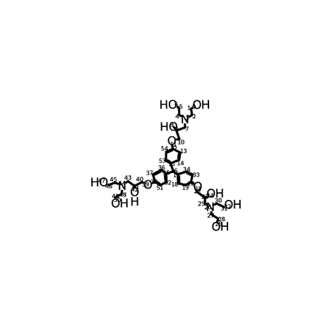 OCCN(CCO)CC(O)COc1ccc(C(C2=CCC(OCC(O)CN(CCO)CCO)C=C2)c2ccc(OCC(O)CN(CCO)CCO)cc2)cc1